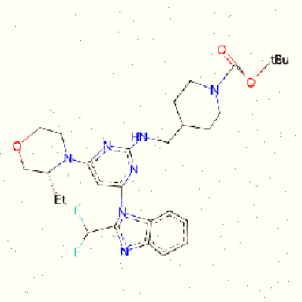 CC[C@@H]1COCCN1c1cc(-n2c(C(F)F)nc3ccccc32)nc(NCC2CCN(C(=O)OC(C)(C)C)CC2)n1